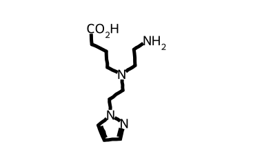 NCCN(CCCC(=O)O)CCn1cccn1